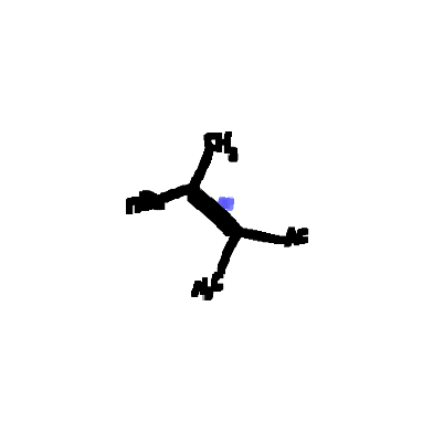 CCCC/C(C)=C(\C)C(C)=O